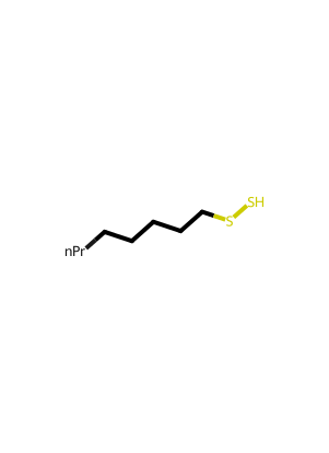 CCCCCCCCSS